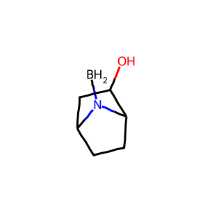 BN1C2CCC1C(O)C2